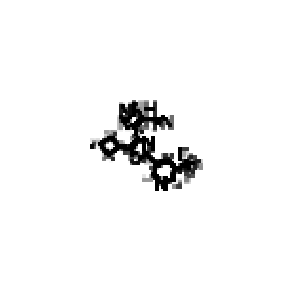 N#Cc1[nH]nnc1-c1nc(-c2cncc(C(F)(F)F)c2)oc1C1CCC1